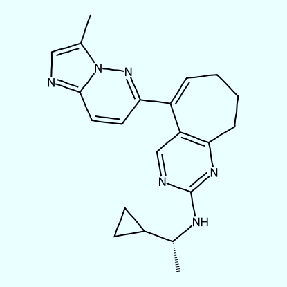 Cc1cnc2ccc(C3=CCCCc4nc(N[C@H](C)C5CC5)ncc43)nn12